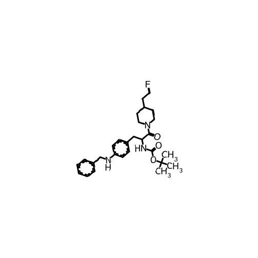 CC(C)(C)OC(=O)NC(Cc1ccc(NCc2ccccc2)cc1)C(=O)N1CCC(CCF)CC1